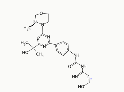 C[C@H]1COCCN1c1cc(C(C)(C)O)nc(-c2ccc(NC(=O)NC(=N)/C=C\O)cc2)n1